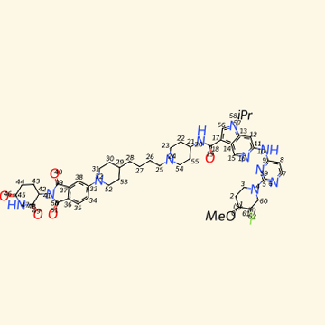 CO[C@H]1CCN(c2nccc(Nc3cc4c(cn3)c(C(=O)NC3CCN(CCCCC5CCN(c6ccc7c(c6)C(=O)N(C6CCC(=O)NC6=O)C7=O)CC5)CC3)cn4C(C)C)n2)C[C@H]1F